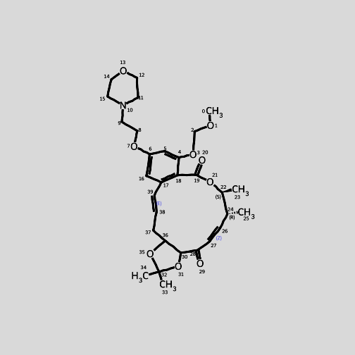 COCOc1cc(OCCN2CCOCC2)cc2c1C(=O)O[C@@H](C)[C@H](C)/C=C\C(=O)C1OC(C)(C)OC1C/C=C/2